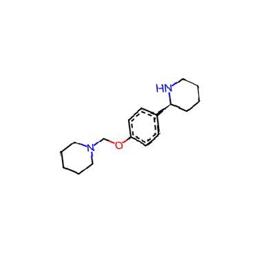 c1cc([C@@H]2CCCCN2)ccc1OCN1CCCCC1